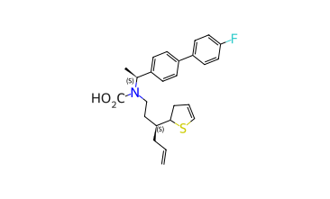 C=CC[C@@H](CCN(C(=O)O)[C@@H](C)c1ccc(-c2ccc(F)cc2)cc1)C1CC=CS1